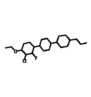 CCCC1CCC(C2CCC(C3CCC(OCC)C(Cl)C3F)CC2)CC1